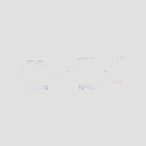 CC1(O)C=NC(c2ccccn2)=CC1